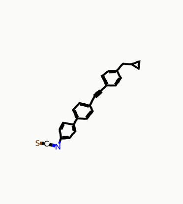 S=C=Nc1ccc(-c2ccc(C#Cc3ccc(CC4CC4)cc3)cc2)cc1